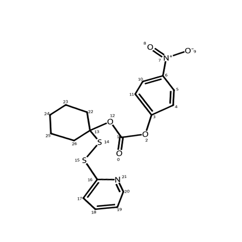 O=C(Oc1ccc([N+](=O)[O-])cc1)OC1(SSc2ccccn2)CCCCC1